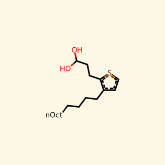 CCCCCCCCCCCCc1ccsc1CCC(O)O